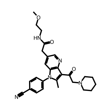 COCCNC(=O)Cc1cnc2c(C(=O)CN3CCCCC3)c(C)n(-c3ccc(C#N)cc3)c2c1